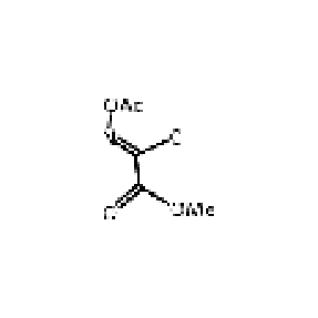 COC(=O)C(Cl)=NOC(C)=O